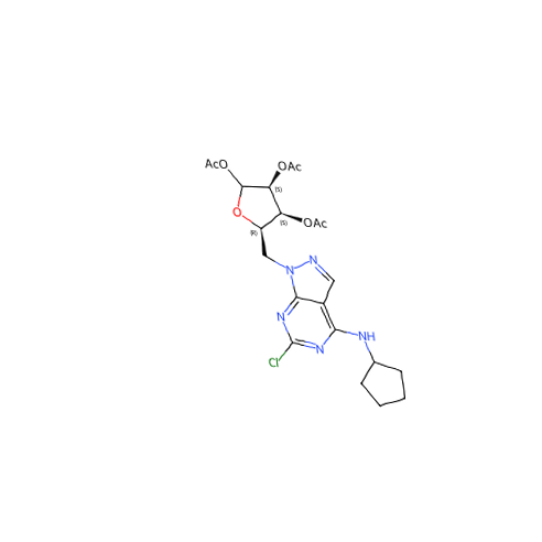 CC(=O)OC1O[C@H](Cn2ncc3c(NC4CCCC4)nc(Cl)nc32)[C@H](OC(C)=O)[C@@H]1OC(C)=O